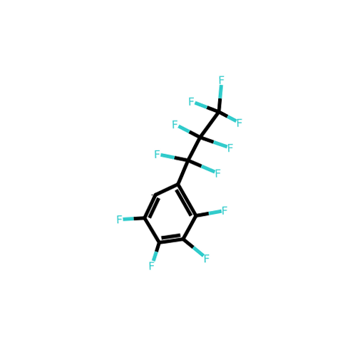 Fc1[c]c(C(F)(F)C(F)(F)C(F)(F)F)c(F)c(F)c1F